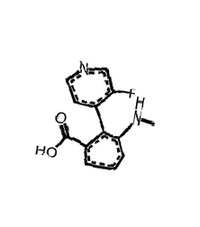 CNc1cccc(C(=O)O)c1-c1ccncc1F